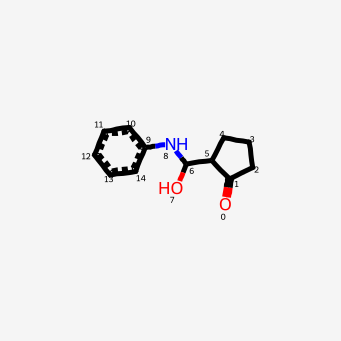 O=C1CCCC1C(O)Nc1ccccc1